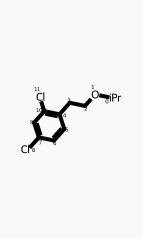 CC(C)OCCc1ccc(Cl)cc1Cl